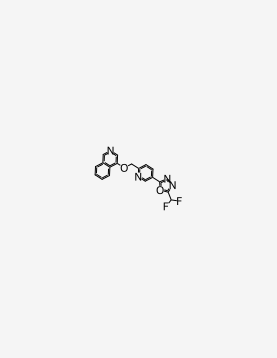 FC(F)c1nnc(-c2ccc(COc3cncc4ccccc34)nc2)o1